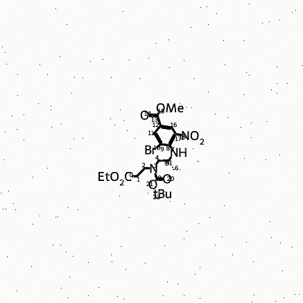 CCOC(=O)CCN(C[C@@H](C)Nc1c(Br)cc(C(=O)OC)cc1[N+](=O)[O-])C(=O)OC(C)(C)C